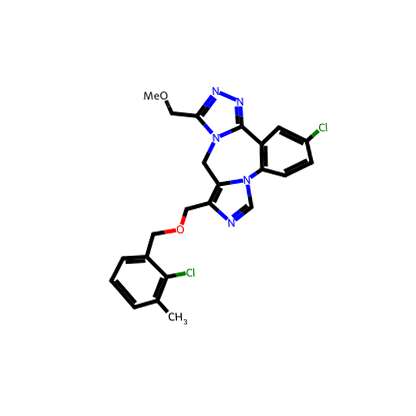 COCc1nnc2n1Cc1c(COCc3cccc(C)c3Cl)ncn1-c1ccc(Cl)cc1-2